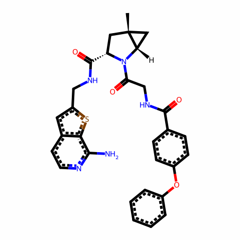 C[C@@]12C[C@@H]1N(C(=O)CNC(=O)c1ccc(Oc3ccccc3)cc1)[C@H](C(=O)NCc1cc3ccnc(N)c3s1)C2